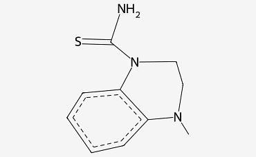 CN1CCN(C(N)=S)c2ccccc21